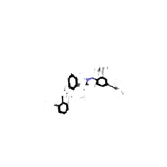 COC(=O)c1ccc(/C=C2/Sc3ccc(S(=O)(=O)Cc4c(Cl)cccc4Cl)cc3NC2=O)c([N+](=O)[O-])c1